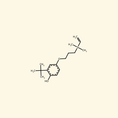 C=C[Si](C)(C)CCCOc1ccc(O)c(C(C)(C)C)c1